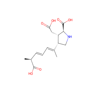 C/C(=C\C=C\[C@H](C)C(=O)O)[C@H]1CN[C@H](C(=O)O)[C@H]1CC(=O)O